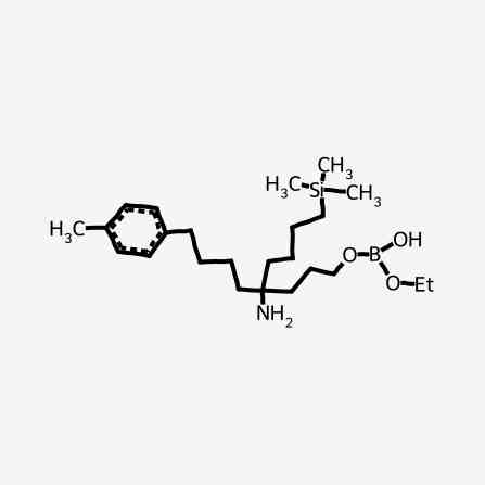 CCOB(O)OCCCC(N)(CCCCc1ccc(C)cc1)CCCC[Si](C)(C)C